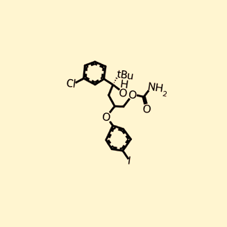 CC(C)(C)[C@](O)(CC(COC(N)=O)Oc1ccc(I)cc1)c1cccc(Cl)c1